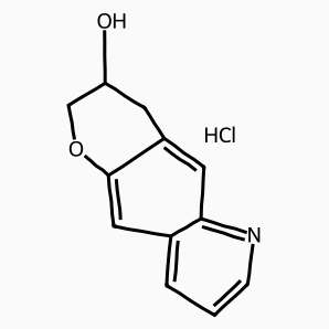 Cl.OC1COc2cc3cccnc3cc2C1